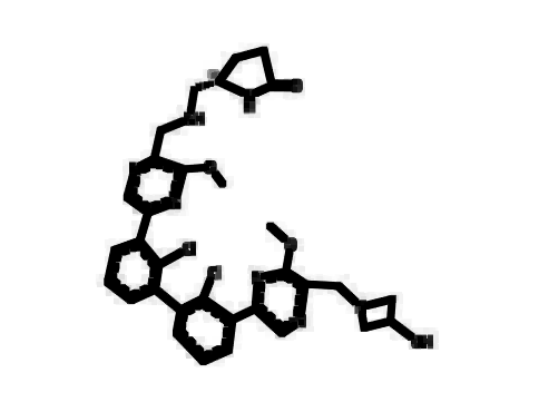 COc1nc(-c2cccc(-c3cccc(-c4cnc(CN5CC(O)C5)c(OC)n4)c3Cl)c2Cl)cnc1CNC[C@@H]1CCC(=O)N1